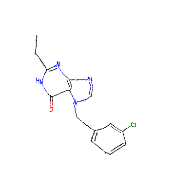 CCc1nc2ncn(Cc3cccc(Cl)c3)c2c(=O)[nH]1